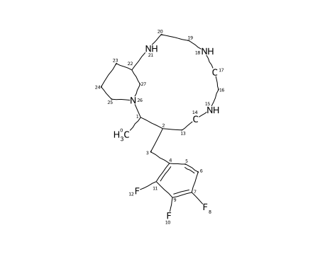 CC1C(Cc2ccc(F)c(F)c2F)CCNCCNCCNC2CCCN1C2